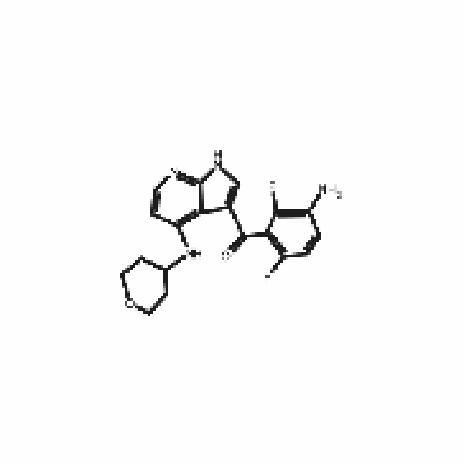 Nc1ccc(F)c(C(=O)c2c[nH]c3nccc(NC4CCOCC4)c23)c1F